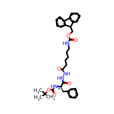 CC(C)(C)OC(=O)N[C@H](Cc1ccccc1)C(=O)NNC(=O)CCCCCNC(=O)OCC1c2ccccc2-c2ccccc21